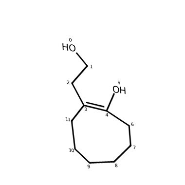 OCCC1=C(O)CCCCCC1